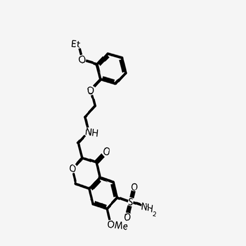 CCOc1ccccc1OCCNCC1OCc2cc(OC)c(S(N)(=O)=O)cc2C1=O